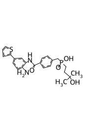 CC(C)(O)CCP(=O)(O)Cc1ccc(C(=O)Nc2cc(-c3cccs3)ccc2N)cc1